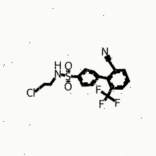 N#Cc1cccc(C(F)(F)F)c1-c1ccc(S(=O)(=O)NCCCl)cc1